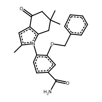 Cc1cc2c(n1-c1ccc(C(N)=O)cc1OCc1ccccc1)CC(C)(C)CC2=O